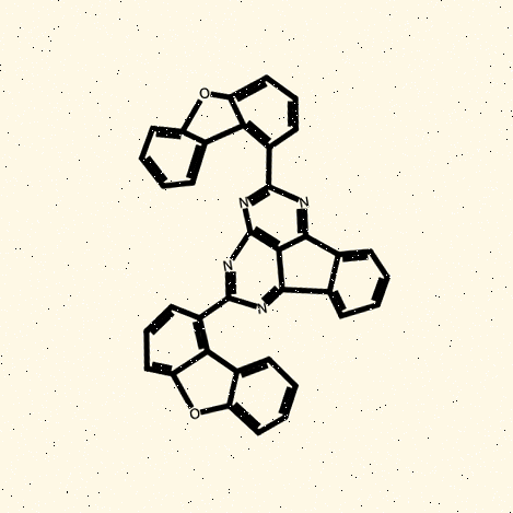 c1ccc2c(c1)-c1nc(-c3cccc4oc5ccccc5c34)nc3nc(-c4cccc5oc6ccccc6c45)nc-2c13